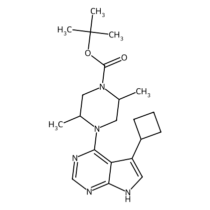 CC1CN(c2ncnc3[nH]cc(C4CCC4)c23)C(C)CN1C(=O)OC(C)(C)C